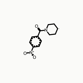 O=C(c1ccc([N+](=O)[O-])cc1)N1CC[CH]CC1